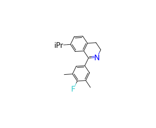 Cc1cc(C2=NCCc3ccc(C(C)C)cc32)cc(C)c1F